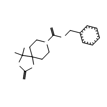 CC1(C)NC(=O)OC12CCN(C(=O)OCc1ccccc1)CC2